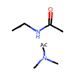 CC(=O)N(C)C.CCNC(C)=O